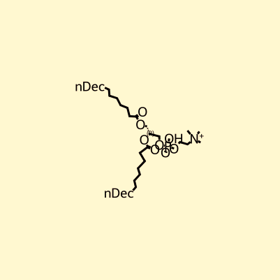 CCCCCCCCCCCCCCCCC(=O)OC[C@H](COP(=O)(O)OCC[N+](C)(C)C)OC(=O)CCCCCCCCCCCCCCCC